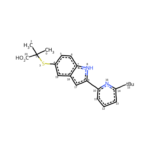 CC(C)(Sc1ccc2[nH]c(-c3cccc(C(C)(C)C)n3)cc2c1)C(=O)O